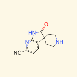 N#Cc1ccc2c(n1)NC(=O)C21CCNCC1